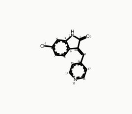 O=C1Nc2cc(Cl)ccc2/C1=C\c1ccncc1